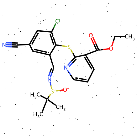 CCOC(=O)c1cccnc1Sc1c(Cl)cc(C#N)cc1C=N[S+]([O-])C(C)(C)C